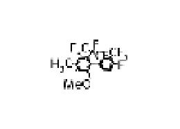 COCc1[c]c(C)cc(C(F)(C(F)(F)F)C(F)(F)F)c1-c1ccc(F)c(C(F)(F)F)c1